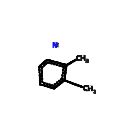 Cc1ccccc1C.[N]